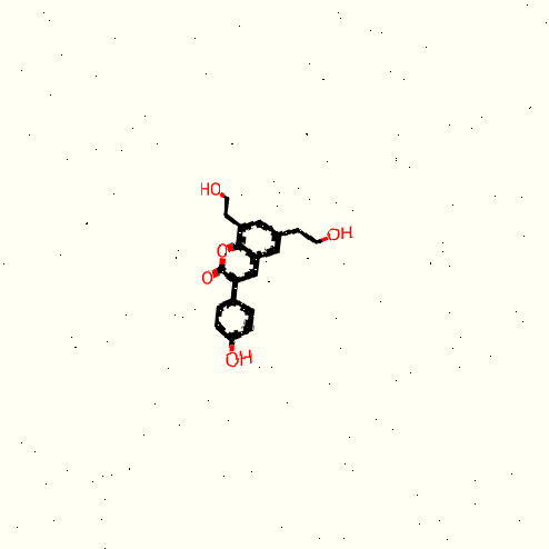 O=c1oc2c(CCO)cc(CCO)cc2cc1-c1ccc(O)cc1